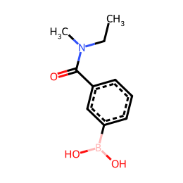 CCN(C)C(=O)c1cccc(B(O)O)c1